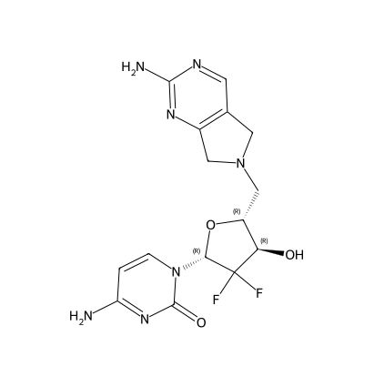 Nc1ccn([C@@H]2O[C@H](CN3Cc4cnc(N)nc4C3)[C@@H](O)C2(F)F)c(=O)n1